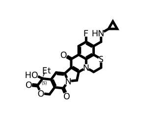 CC[C@@]1(O)C(=O)OCc2c1cc1n(c2=O)Cc2c-1c(=O)c1cc(F)c(CNC3CC3)c3c1n2CCS3